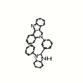 c1ccc(N2c3ccccc3NC2c2cccc(-n3cc4c5ccccc5nc-4c4ccccc43)c2)cc1